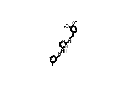 COc1ccc(CCNc2nccc(NN=Cc3cccc(C)c3)n2)cc1OC